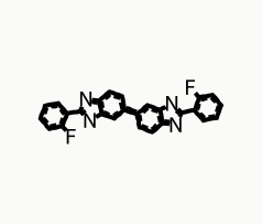 Fc1ccccc1C1=Nc2cc(=c3ccc4c(c3)N=C(c3ccccc3F)N=4)ccc2=N1